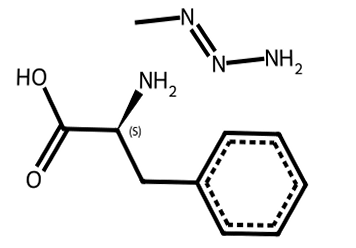 CN=NN.N[C@@H](Cc1ccccc1)C(=O)O